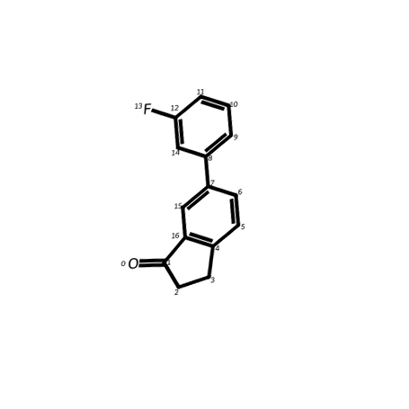 O=C1CCc2ccc(-c3cccc(F)c3)cc21